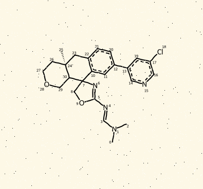 CN(C)/C=N/C1=NC2(CO1)c1cc(-c3cncc(Cl)c3)ccc1C[C@]1(C)CCOCC21